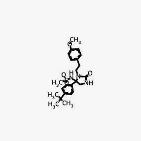 COc1ccc(CCN2C(=O)NCC2(NS(C)(=O)=O)c2ccc(C(C)(C)C)cc2)cc1